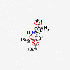 CCCCOC(=O)OC(C)CC(c1ccc(OC(=O)CC(C)(C)C)c(OC(=O)CC(C)(C)C)c1)[C@H](N)C(=O)O